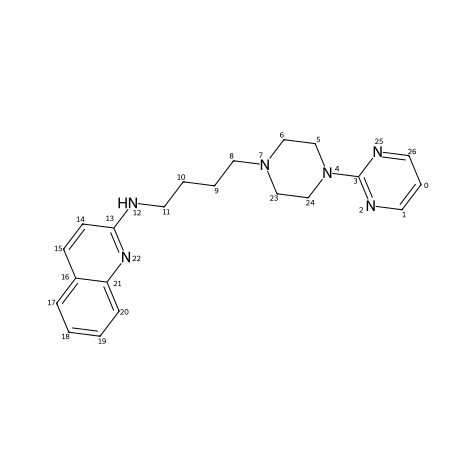 c1cnc(N2CCN(CCCCNc3ccc4ccccc4n3)CC2)nc1